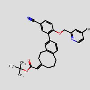 Cc1ccnc(COc2ccc(C#N)cc2-c2ccc3c(c2)CC/C(=C\C(=O)OC(C)(C)C)CCC3)c1